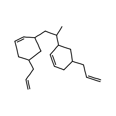 C=CCC1CC=CC(CC(C)C2C=CCC(CC=C)C2)C1